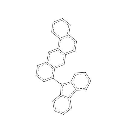 c1cc(-n2c3ccccc3c3ccccc32)c2cc3ccc4ccccc4c3cc2c1